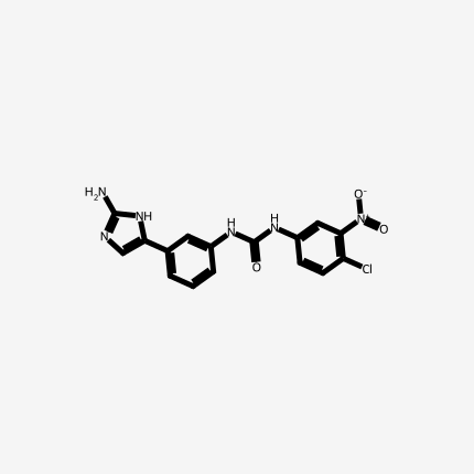 Nc1ncc(-c2cccc(NC(=O)Nc3ccc(Cl)c([N+](=O)[O-])c3)c2)[nH]1